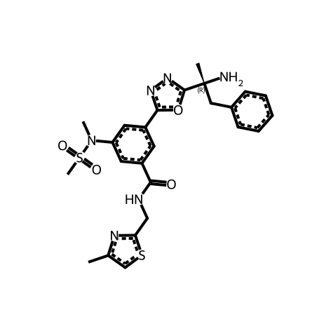 Cc1csc(CNC(=O)c2cc(-c3nnc([C@](C)(N)Cc4ccccc4)o3)cc(N(C)S(C)(=O)=O)c2)n1